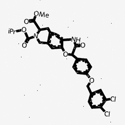 COC(=O)C1Cc2cc3c(cc2CN1C(=O)OC(C)C)OC(c1ccc(OCc2ccc(Cl)c(Cl)c2)cc1)C(=O)N3